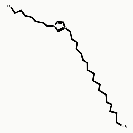 CCCCCCCCCCCCCCCCCCC[n+]1ccn(CCCCCCCC)c1